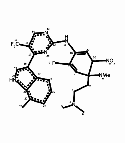 CNC1(CCN(C)C)C=C(F)C(Nc2ncc(C(F)(F)F)c(-c3c[nH]c4c(C)cccc34)n2)=CC1[N+](=O)[O-]